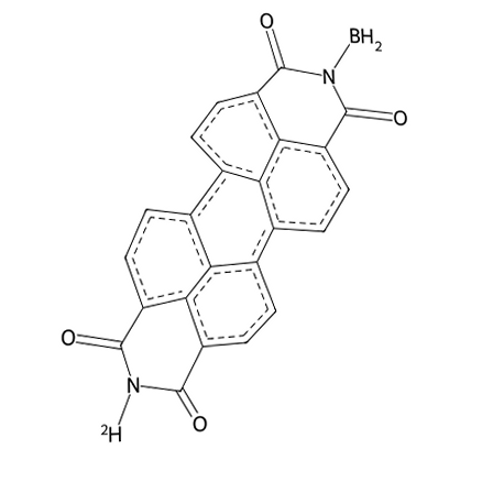 [2H]N1C(=O)c2ccc3c4ccc5c6c(ccc(c7ccc(c2c37)C1=O)c64)C(=O)N(B)C5=O